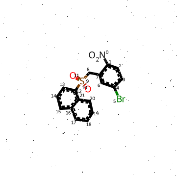 O=[N+]([O-])c1ccc(Br)cc1CS(=O)(=O)c1cccc2ccccc12